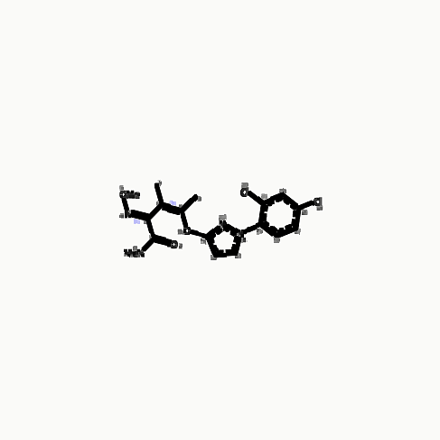 CNC(=O)C(=N/OC)/C(C)=C(/C)Oc1ccn(-c2ccc(Cl)cc2Cl)n1